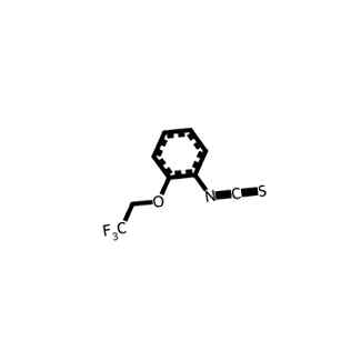 FC(F)(F)COc1ccccc1N=C=S